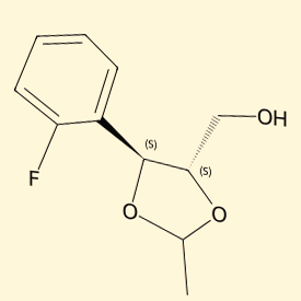 CC1O[C@@H](CO)[C@H](c2ccccc2F)O1